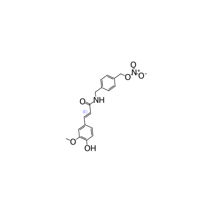 COc1cc(/C=C/C(=O)NCc2ccc(CO[N+](=O)[O-])cc2)ccc1O